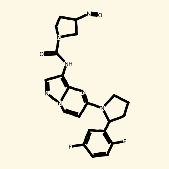 O=NC1CCN(C(=O)Nc2cnn3ccc(N4CCCC4c4cc(F)ccc4F)nc23)C1